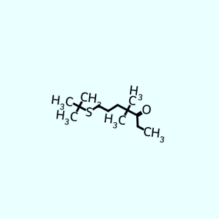 CCC(=O)C(C)(C)CCCSC(C)(C)C